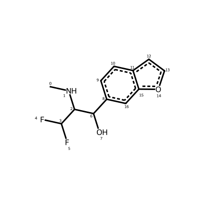 CNC(C(F)F)C(O)c1ccc2ccoc2c1